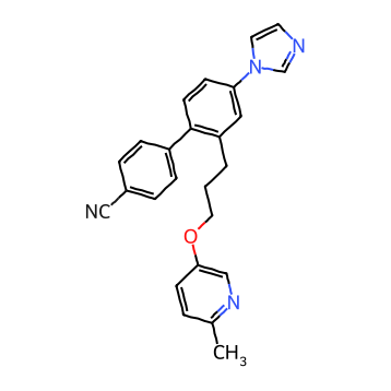 Cc1ccc(OCCCc2cc(-n3ccnc3)ccc2-c2ccc(C#N)cc2)cn1